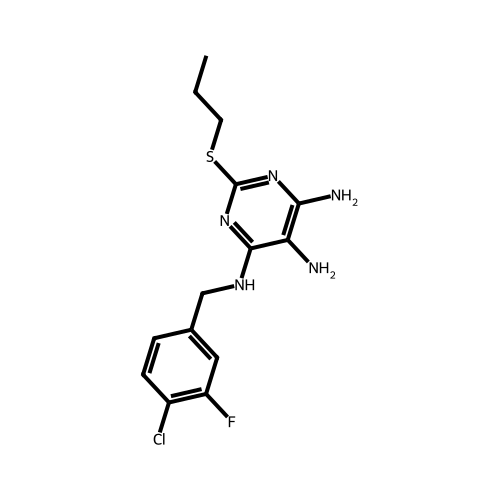 CCCSc1nc(N)c(N)c(NCc2ccc(Cl)c(F)c2)n1